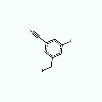 N#Cc1cc(F)cc(CI)c1